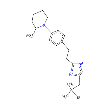 CCC(C)(C)Cc1c[nH]c(CCc2ccc(N3CCCCC3C(=O)O)cc2)n1